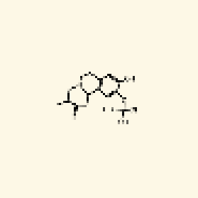 CC1CN2CCc3cc(O)c(OC(O)(O)O)cc3C2CC1=O